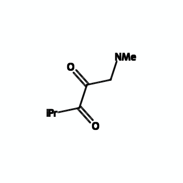 CNCC(=O)C(=O)C(C)C